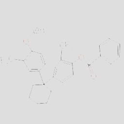 CCC(C)Oc1ccc(C2(c3ccc(OC(=O)c4ccccc4)c(C(F)(F)F)c3)CCCCC2)cc1C(F)(F)F